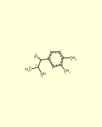 CCC(c1ccc(C)c(C)c1)C(C)O